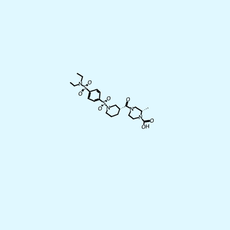 CCN(CC)S(=O)(=O)c1ccc(S(=O)(=O)N2CCC[C@@H](C(=O)N3CCN(C(=O)O)[C@@H](C)C3)C2)cc1